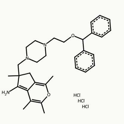 CC1=C(C)C2=C(N)C(C)(CN3CCN(CCOC(c4ccccc4)c4ccccc4)CC3)CC2=C(C)O1.Cl.Cl.Cl